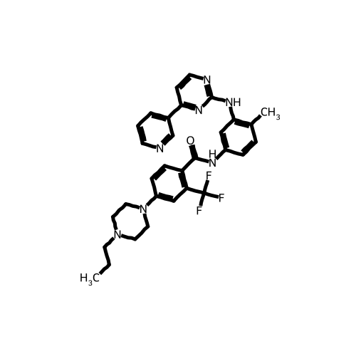 CCCN1CCN(c2ccc(C(=O)Nc3ccc(C)c(Nc4nccc(-c5cccnc5)n4)c3)c(C(F)(F)F)c2)CC1